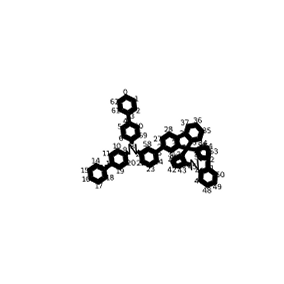 c1ccc(-c2ccc(N(c3ccc(-c4ccccc4)cc3)c3cccc(-c4ccc5c(c4)C4(c6ccccc6-5)c5ccccc5-n5c6ccccc6c6cccc4c65)c3)cc2)cc1